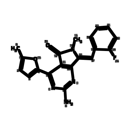 Cc1ccc(-c2nc(N)nc3c2C(=O)N(C)/C3=C\c2ccccc2F)o1